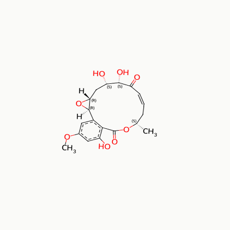 COc1cc(O)c2c(c1)[C@H]1O[C@@H]1C[C@H](O)[C@H](O)C(=O)C=CC[C@H](C)OC2=O